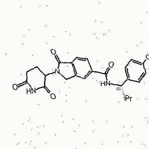 CC(C)[C@H](NC(=O)c1ccc2c(c1)CN(C1CCC(=O)NC1=O)C2=O)c1ccc(Cl)cc1